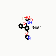 O=C(NC(CS)C(=O)O)c1ccc(COc2cccnc2)cc1-c1ccccc1.[NaH].[NaH]